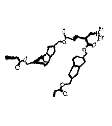 C=CC(=O)OCC1CC2CCC(COC(=O)C(CCC(=O)OCC3CC4C5CC(COC(=O)C=C)C(C5)C4C3)CN(CC)CC)CC2C1